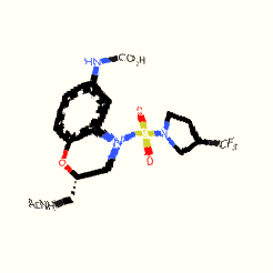 CC(=O)NC[C@H]1CN(S(=O)(=O)N2CCC(C(F)(F)F)C2)c2cc(NC(=O)O)ccc2O1